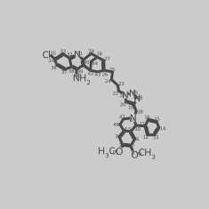 COc1cc2c(cc1OC)C(c1ccccc1)N(Cc1cn(CCCCC3=CC4Cc5nc6cc(Cl)ccc6c(N)c5C(C3)C4)nn1)CC2